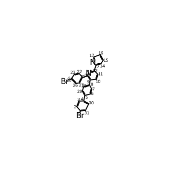 Brc1ccc(-c2ccc(-c3ccc(-c4ccccn4)nc3-c3ccc(Br)cc3)cc2)cc1